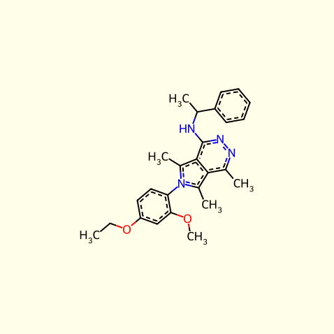 CCOc1ccc(-n2c(C)c3c(C)nnc(NC(C)c4ccccc4)c3c2C)c(OC)c1